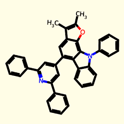 Cc1oc2c(cc(-c3cc(-c4ccccc4)nc(-c4ccccc4)c3)c3c4ccccc4n(-c4ccccc4)c23)c1C